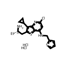 CC[C@H](N)Cc1sc2c(NCc3cccs3)cc(Cl)nc2c1C1CC1.Cl.Cl